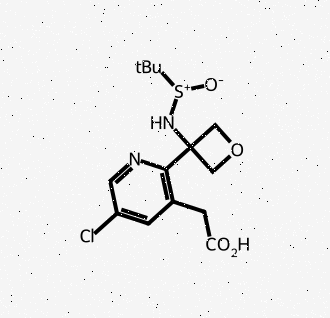 CC(C)(C)[S+]([O-])NC1(c2ncc(Cl)cc2CC(=O)O)COC1